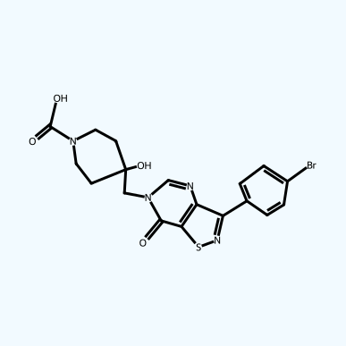 O=C(O)N1CCC(O)(Cn2cnc3c(-c4ccc(Br)cc4)nsc3c2=O)CC1